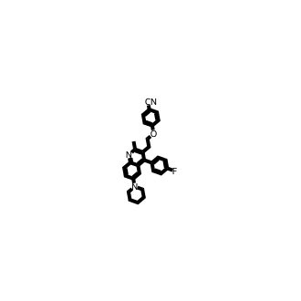 Cc1nc2ccc(N3CCCCC3)cc2c(-c2ccc(F)cc2)c1CCOc1ccc(C#N)cc1